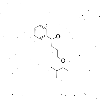 CC(C)C(C)OCCCC([O])c1ccccc1